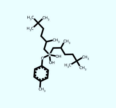 Cc1ccc(OP(O)(O)(CC(C)CCC(C)(C)C)CC(C)CCC(C)(C)C)cc1